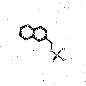 O=P(O)(O)OCc1ccc2ncccc2c1